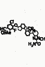 COc1c(C=O)cc(Cl)c(OC2CCc3c(-c4cccc(C5c6nc(C(N)=O)n(C)c6CCN5C)c4C)cccc32)c1F